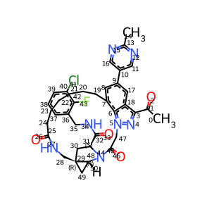 CC(=O)c1nn2c3c(cc(-c4cnc(C)nc4)cc13)CCCCCCC(=O)NC[C@@]13C[C@@H](C(=O)NCc4cccc(Cl)c4F)N(C(=O)C2)[C@@H]1C3